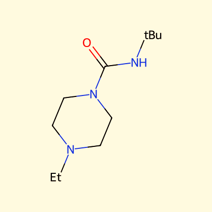 CCN1CCN(C(=O)NC(C)(C)C)CC1